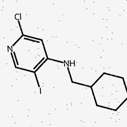 Clc1cc(NCC2CCCCC2)c(I)cn1